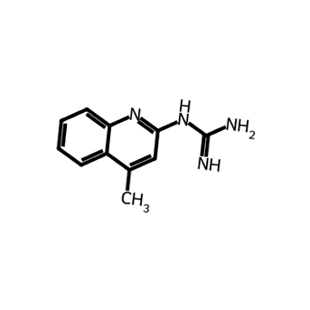 Cc1cc(NC(=N)N)nc2ccccc12